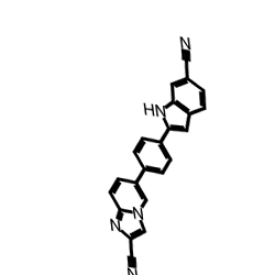 N#Cc1ccc2cc(-c3ccc(-c4ccc5nc(C#N)cn5c4)cc3)[nH]c2c1